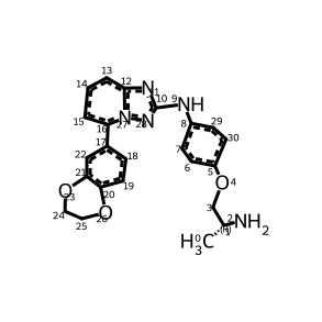 C[C@@H](N)COc1ccc(Nc2nc3cccc(-c4ccc5c(c4)OCCO5)n3n2)cc1